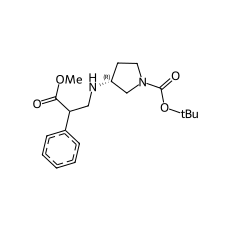 COC(=O)C(CN[C@@H]1CCN(C(=O)OC(C)(C)C)C1)c1ccccc1